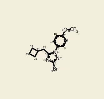 FC(F)(F)Oc1ccc(-n2nc(Br)nc2CC2CCC2)cc1